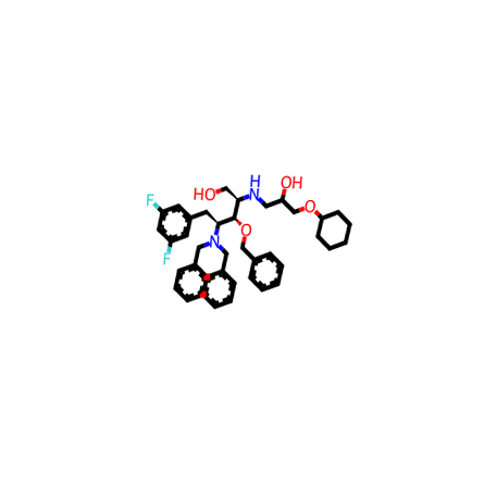 OC[C@@H](NCC(O)COC1CCCCC1)[C@@H](OCc1ccccc1)[C@H](Cc1cc(F)cc(F)c1)N(Cc1ccccc1)Cc1ccccc1